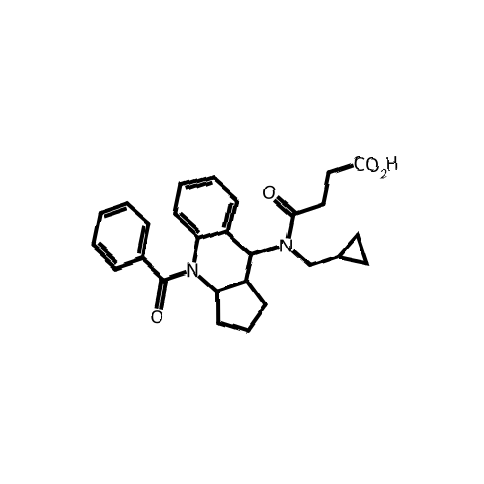 O=C(O)CCC(=O)N(CC1CC1)C1c2ccccc2N(C(=O)c2ccccc2)C2CCCC12